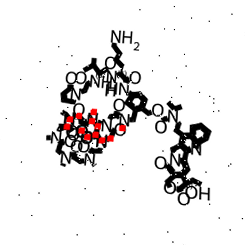 CC[C@@]1(O)C(=O)OCc2c1cc1n(c2=O)Cc2c-1nc1ccccc1c2CCN(C(=O)OCc1ccc(NC(=O)[C@H](CCCCN)NC(=O)[C@@H](NC(=O)CN2C(=O)C=CC2=O)C(C)C)cc1CN(C)C(=O)CN(C)C(=O)CN(C)C(=O)CN(C)C(=O)CN(C)C(=O)CN(C)C(=O)CN(C)C(=O)CN(C)C(=O)CN(C)C(=O)CN(C)C(=O)CN(C)C(C)=O)C(C)C